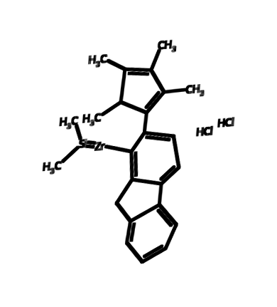 CC1=C(C)C(C)C(c2ccc3c([c]2[Zr]=[Si](C)C)Cc2ccccc2-3)=C1C.Cl.Cl